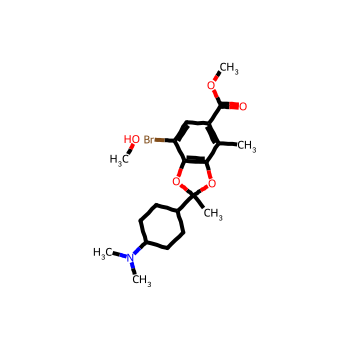 CO.COC(=O)c1cc(Br)c2c(c1C)OC(C)(C1CCC(N(C)C)CC1)O2